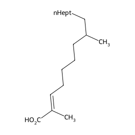 CCCCCCCCC(C)CCCCC=C(C)C(=O)O